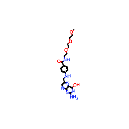 COCCOCCOCCNC(=O)c1ccc(NCc2cnc3nc(N)nc(O)c3n2)cc1